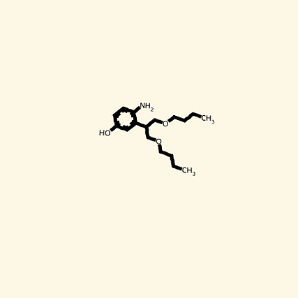 CCCCOCC(COCCCC)c1cc(O)[c]cc1N